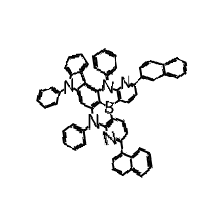 c1ccc(N2c3cc4c(c5c3B(c3ccc(-c6cccc7ccccc67)nc32)c2ccc(-c3ccc6ccccc6c3)nc2N5c2ccccc2)c2ccccc2n4-c2ccccc2)cc1